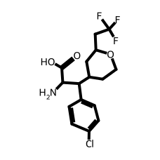 NC(C(=O)O)C(c1ccc(Cl)cc1)C1CCOC(CC(F)(F)F)C1